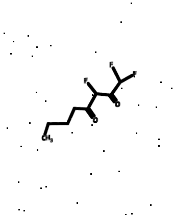 CCCCC(=O)C(F)C(=O)C(F)F